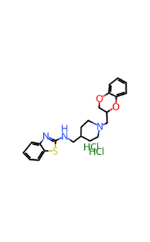 Cl.Cl.c1ccc2c(c1)OCC(CN1CCC(CNc3nc4ccccc4s3)CC1)O2